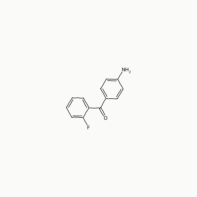 Nc1ccc(C(=O)c2ccccc2F)cc1